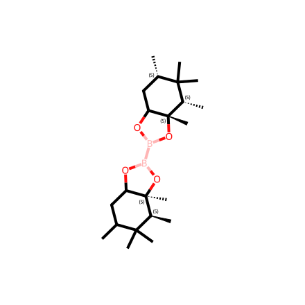 CC1CC2OB(B3OC4C[C@H](C)C(C)(C)[C@H](C)[C@]4(C)O3)O[C@@]2(C)[C@@H](C)C1(C)C